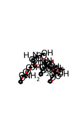 CC(C)(C(=O)OCc1ccccc1)[C@H](N)C(=O)OCCC(=O)O.CC(C)[C@H](N)C(=O)OC(CC(=O)OCc1ccccc1)C(OC(=O)[C@@H](N)C(C)C)C(=O)O.CC[C@@](C)(C(=O)OCc1ccccc1)[C@H](N)C(=O)OCCC(=O)O.CC[C@H](C)[C@H](N)C(=O)OC(CC(=O)OCc1ccccc1)C(OC(=O)[C@@H](N)[C@@H](C)CC)C(=O)O